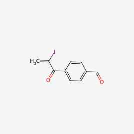 C=C(I)C(=O)c1ccc(C=O)cc1